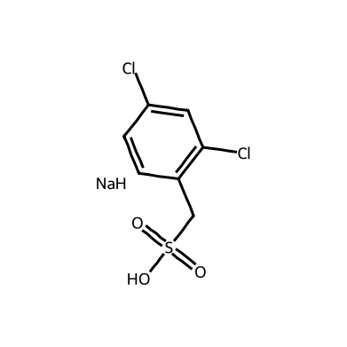 O=S(=O)(O)Cc1ccc(Cl)cc1Cl.[NaH]